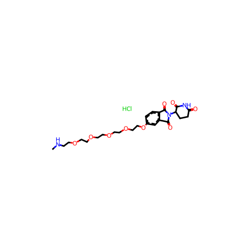 CNCCOCCOCCOCCOCCOc1ccc2c(c1)C(=O)N(C1CCC(=O)NC1=O)C2=O.Cl